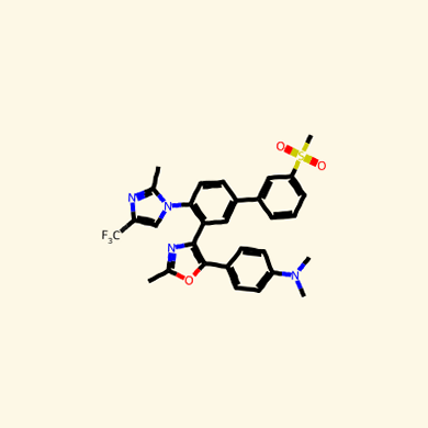 Cc1nc(-c2cc(-c3cccc(S(C)(=O)=O)c3)ccc2-n2cc(C(F)(F)F)nc2C)c(-c2ccc(N(C)C)cc2)o1